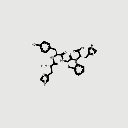 N[C@@H](Cc1c[nH]cn1)C(=O)N[C@@H](Cc1ccc(O)cc1)C(=O)N[C@@H](Cc1ccccc1)C(=O)N[C@@H](Cc1c[nH]cn1)C(=O)O